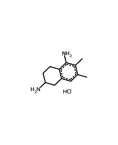 Cc1cc2c(c(N)c1C)CCC(N)C2.Cl